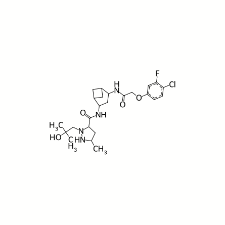 CC1CC(C(=O)NC2CC(NC(=O)COc3ccc(Cl)c(F)c3)C3CC2C3)N(CC(C)(C)O)N1